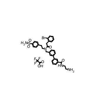 NCCNC(=O)c1cccc(-c2cccc(CN(CCc3ccc(S(N)(=O)=O)cc3)C(=O)Cc3ccccc3Br)c2)c1.O=C(O)C(F)(F)F